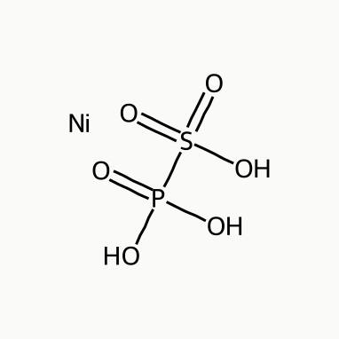 O=P(O)(O)S(=O)(=O)O.[Ni]